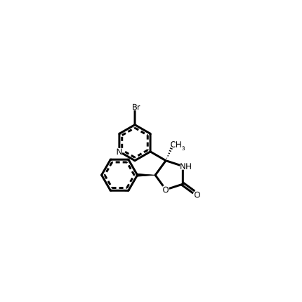 C[C@]1(c2cncc(Br)c2)NC(=O)O[C@H]1c1ccccc1